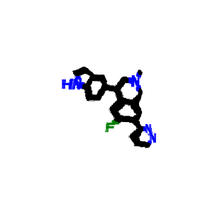 CN1Cc2cc(-c3cccnn3)c(F)cc2C(c2ccc3[nH]ccc3c2)C1